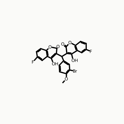 COc1ccc(C(c2c(O)c3cc(F)ccc3oc2=O)c2c(O)c3cc(F)ccc3oc2=O)cc1Br